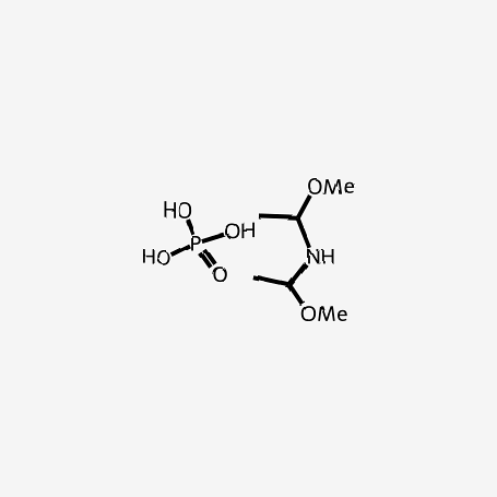 COC(C)NC(C)OC.O=P(O)(O)O